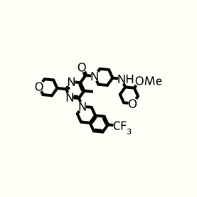 COC1COCCC1NC1CCN(C(=O)c2nc(C3CCOCC3)nc(N3CCc4ccc(C(F)(F)F)cc4C3)c2C)CC1